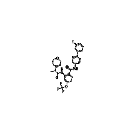 CC(C(=O)Nc1cc(OC(F)(F)F)ccc1C(=O)Nc1ccc(-c2cccc(F)c2)nc1)N1CCOCC1